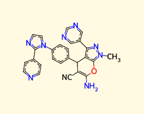 Cn1nc(-c2cncnc2)c2c1OC(N)=C(C#N)C2c1ccc(-n2ccnc2-c2ccncc2)cc1